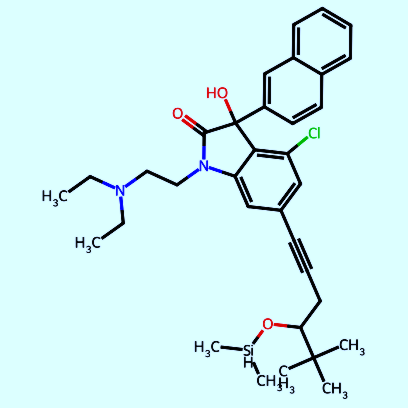 CCN(CC)CCN1C(=O)C(O)(c2ccc3ccccc3c2)c2c(Cl)cc(C#CCC(O[SiH](C)C)C(C)(C)C)cc21